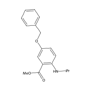 COC(=O)c1cc(OCc2ccccc2)ccc1NC(C)C